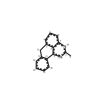 Cc1nc2c3c(cccc3n1)Cc1ccccc1-2